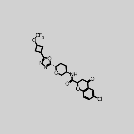 O=C1CC(C(=O)N[C@@H]2CC[C@@H](c3nnc(C4CC(OC(F)(F)F)C4)o3)OC2)Oc2ccc(Cl)cc21